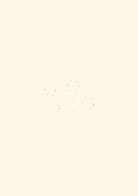 CCOC(=O)/C(CC(=O)O)=C(\c1ccccc1)c1ccc(OC)c(Sc2c(C)cccc2C)c1